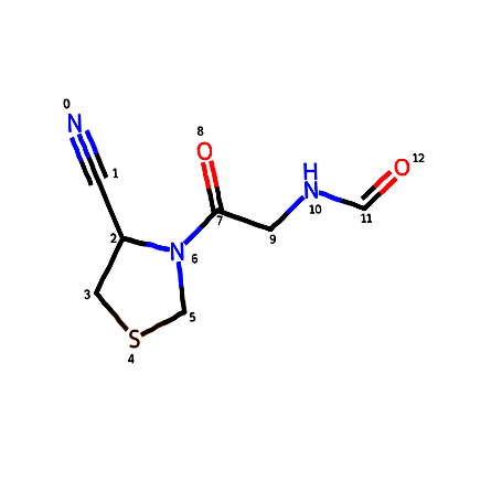 N#CC1CSCN1C(=O)CNC=O